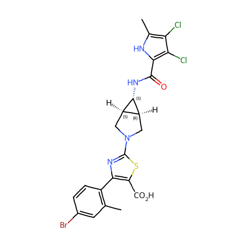 Cc1cc(Br)ccc1-c1nc(N2C[C@@H]3[C@H](C2)[C@H]3NC(=O)c2[nH]c(C)c(Cl)c2Cl)sc1C(=O)O